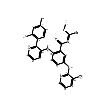 CCO/C(CC)=N\C(=O)c1cc(Oc2ncccc2C(F)(F)F)ccc1Nc1cccnc1-c1ccc(C)cc1F